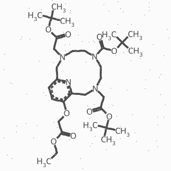 CCOC(=O)COc1ccc2nc1CN(CC(=O)OC(C)(C)C)CCN(C(=O)OC(C)(C)C)CCN(CC(=O)OC(C)(C)C)C2